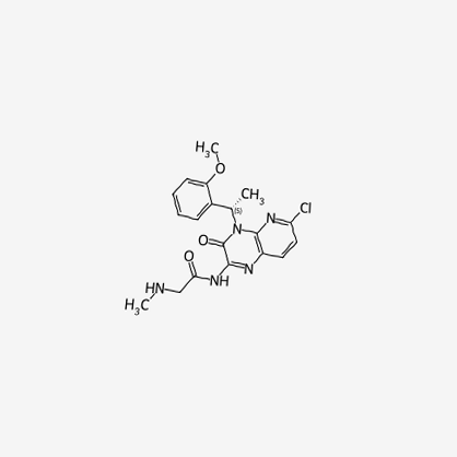 CNCC(=O)Nc1nc2ccc(Cl)nc2n([C@@H](C)c2ccccc2OC)c1=O